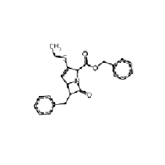 CCSC1=CC2C(Cc3ccccc3)C(=O)N2C1C(=O)OCc1ccccc1